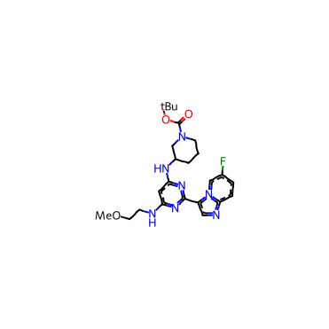 COCCNc1cc(NC2CCCN(C(=O)OC(C)(C)C)C2)nc(-c2cnc3ccc(F)cn23)n1